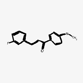 CSc1ccc(C(=O)C=Cc2cccc(F)c2)cc1